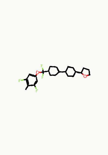 Cc1c(F)cc(OC(F)(F)C2CCC(C3CCC(C4CCCO4)CC3)CC2)cc1F